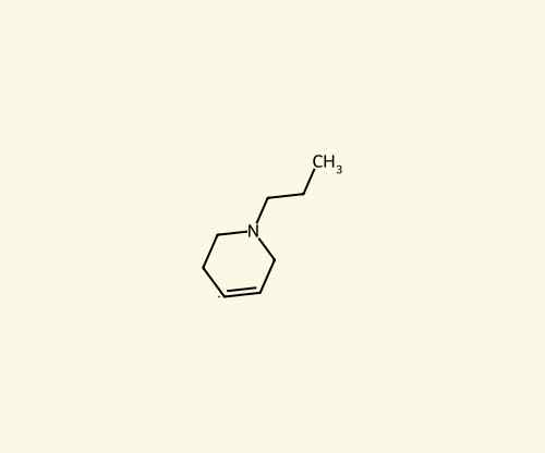 CCCN1CC=[C]CC1